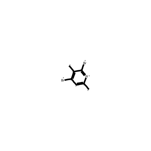 Cc1cc(Br)c(C)c(Br)n1